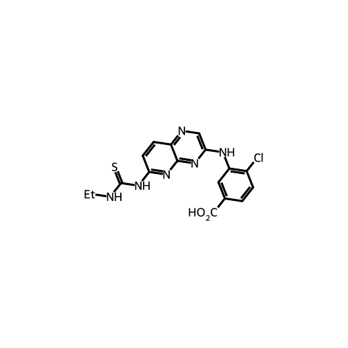 CCNC(=S)Nc1ccc2ncc(Nc3cc(C(=O)O)ccc3Cl)nc2n1